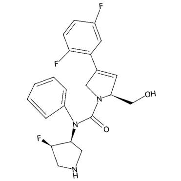 O=C(N1CC(c2cc(F)ccc2F)=C[C@H]1CO)N(c1ccccc1)[C@H]1CNC[C@H]1F